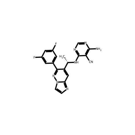 C[C@H](Nc1ncnc(N)c1C#N)c1cc2nccn2nc1-c1cc(F)cc(F)c1